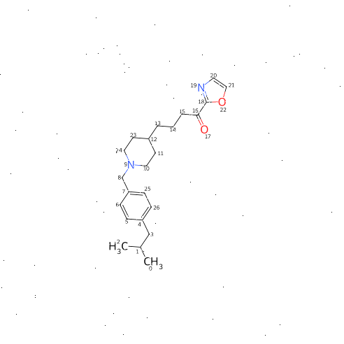 CC(C)Cc1ccc(CN2CCC(CCCC(=O)c3ncco3)CC2)cc1